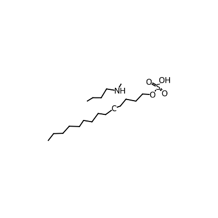 CCCCCCCCCCCCCCOS(=O)(=O)O.CCCCNC